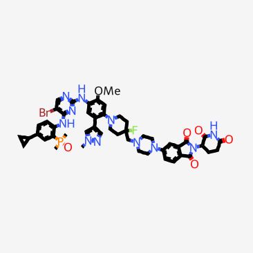 COc1cc(N2CCC(F)(CN3CCN(c4ccc5c(c4)C(=O)N(C4CCC(=O)NC4=O)C5=O)CC3)CC2)c(-c2cnn(C)c2)cc1Nc1ncc(Br)c(Nc2ccc(C3CC3)cc2P(C)(C)=O)n1